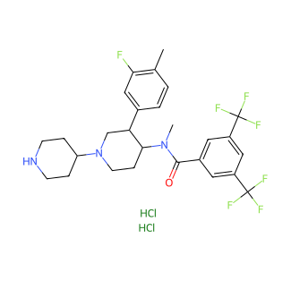 Cc1ccc(C2CN(C3CCNCC3)CCC2N(C)C(=O)c2cc(C(F)(F)F)cc(C(F)(F)F)c2)cc1F.Cl.Cl